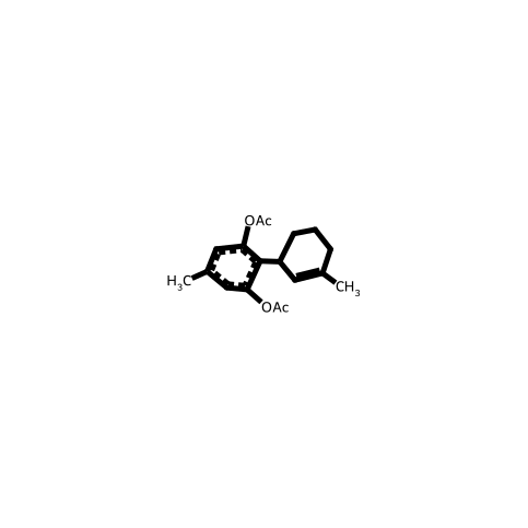 CC(=O)Oc1cc(C)cc(OC(C)=O)c1C1C=C(C)CCC1